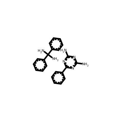 NC(N)(c1ccccc1)c1ccccc1.Nc1nc(N)nc(-c2ccccc2)n1